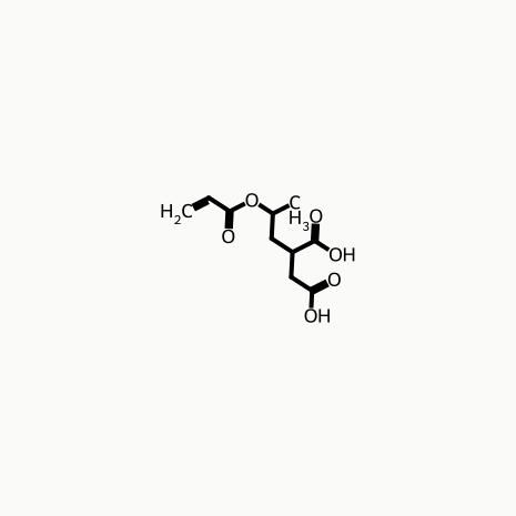 C=CC(=O)OC(C)CC(CC(=O)O)C(=O)O